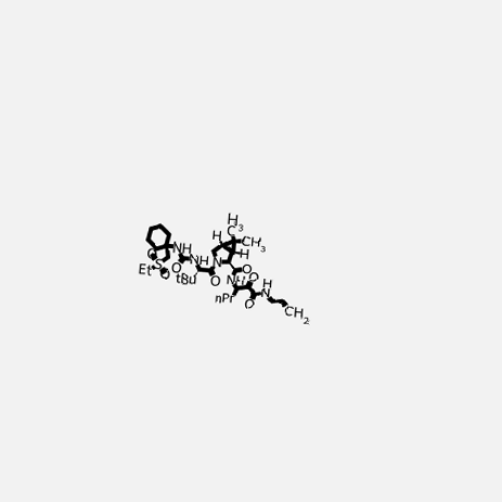 C=CCNC(=O)C(=O)C(CCC)NC(=O)[C@@H]1[C@@H]2[C@H](CN1C(=O)[C@@H](NC(=O)NC1(CS(=O)(=O)CC)CCCCC1)C(C)(C)C)C2(C)C